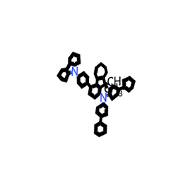 CC1(C)C2=C(C=CCCC2)c2c(-c3ccc(-n4c5ccccc5c5ccccc54)cc3)ccc(N(c3ccc(-c4ccccc4)cc3)c3ccc(-c4ccccc4)cc3)c21